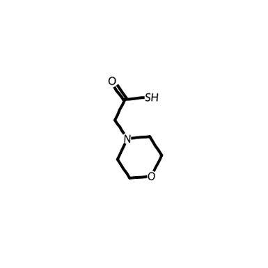 O=C(S)CN1CCOCC1